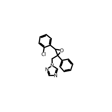 Clc1ccccc1C1OC1(Cn1cncn1)c1ccccc1